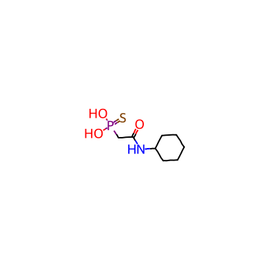 O=C(CP(O)(O)=S)NC1CCCCC1